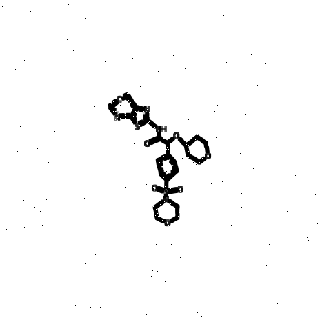 O=C(Nc1nc2cccnc2s1)C(OC1CCOCC1)c1ccc(S(=O)(=O)N2CCOCC2)cc1